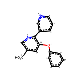 O=C(O)c1cnc(-c2cccnc2)c(Oc2ccccc2)c1